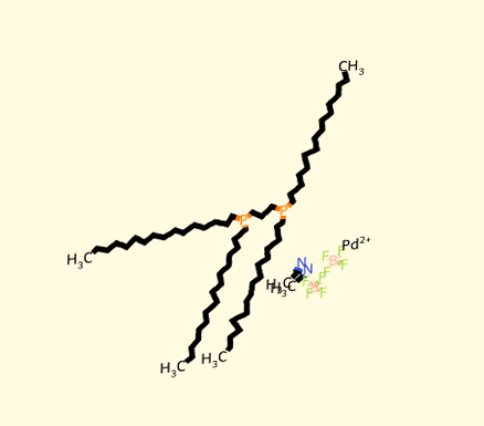 CC#N.CC#N.CCCCCCCCCCCCCCCCP(CCCCCCCCCCCCCCCC)CCCP(CCCCCCCCCCCCCCCC)CCCCCCCCCCCCCCCC.F[B-](F)(F)F.F[B-](F)(F)F.[Pd+2]